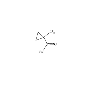 CCC(C)C(=O)C1(C(F)(F)F)CC1